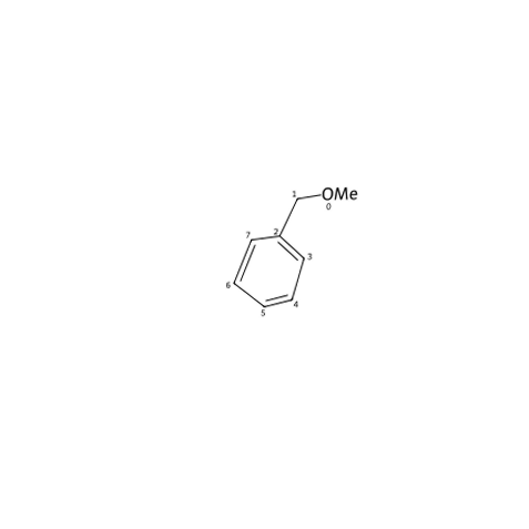 COCc1ccccc1